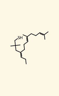 CC/C=C(\CC/C=C(\C)CCC=C(C)C)CC(C)(C)CS